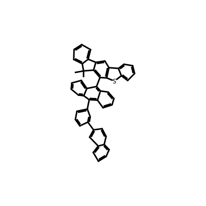 CC1(C)c2ccccc2-c2cc3c(sc4ccccc43)c(-c3c4ccccc4c(-c4cccc(-c5ccc6ccccc6c5)c4)c4ccccc34)c21